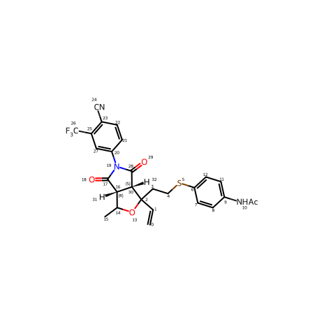 C=CC1(CCSc2ccc(NC(C)=O)cc2)OC(C)[C@@H]2C(=O)N(c3ccc(C#N)c(C(F)(F)F)c3)C(=O)[C@@H]21